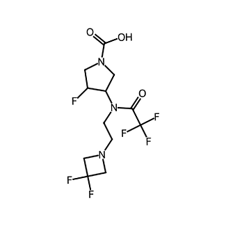 O=C(O)N1CC(F)C(N(CCN2CC(F)(F)C2)C(=O)C(F)(F)F)C1